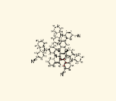 N#Cc1ccc(-n2c3ccccc3c3ccccc32)c(-c2ccc3c(c2)Oc2cc(-c4cc(C#N)ccc4-n4c5ccccc5c5ccccc54)cc4c2B3c2ccc(-n3c5ccccc5c5cc(C#N)ccc53)cc2N4c2ccccc2-c2ccccc2)c1